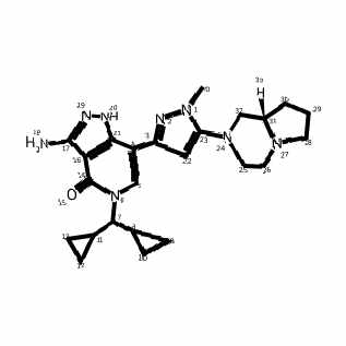 Cn1nc(-c2cn(C(C3CC3)C3CC3)c(=O)c3c(N)n[nH]c23)cc1N1CCN2CCC[C@H]2C1